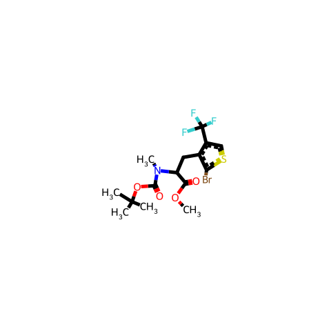 COC(=O)C(Cc1c(C(F)(F)F)csc1Br)N(C)C(=O)OC(C)(C)C